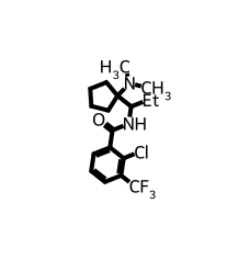 CCC(NC(=O)c1cccc(C(F)(F)F)c1Cl)C1(N(C)C)CCCC1